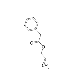 C=CCOC(=O)[CH]c1ccccc1